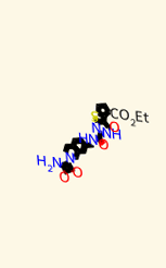 CCOC(=O)C1CCc2sc3nc(C(=O)NCc4ccc5c(c4)CN(c4c(N)c(=O)c4=O)CC5)[nH]c(=O)c3c21